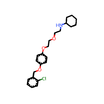 Clc1ccccc1COc1ccc(OCCOCCNC2CCCCC2)cc1